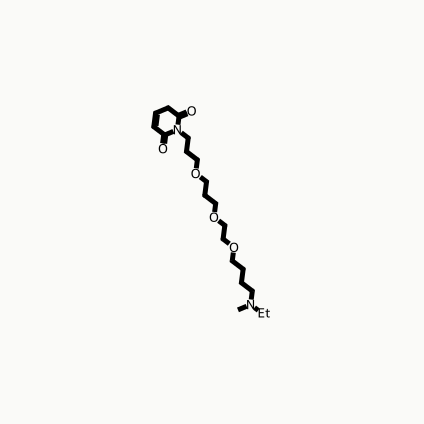 CCN(C)CCCCOCCOCCCOCCCN1C(=O)C=CCC1=O